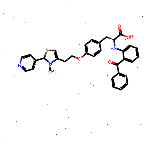 CN1C(CCOc2ccc(C[C@H](Nc3ccccc3C(=O)c3ccccc3)C(=O)O)cc2)=CSC1c1ccncc1